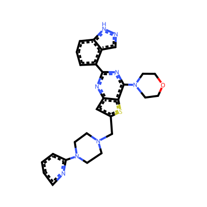 c1ccc(N2CCN(Cc3cc4nc(-c5cccc6[nH]ncc56)nc(N5CCOCC5)c4s3)CC2)nc1